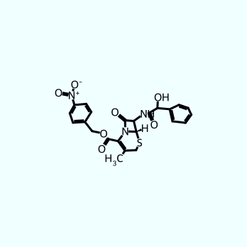 CC1=C(C(=O)OCc2ccc([N+](=O)[O-])cc2)N2C(=O)C(NC(=O)C(O)c3ccccc3)[C@@H]2SC1